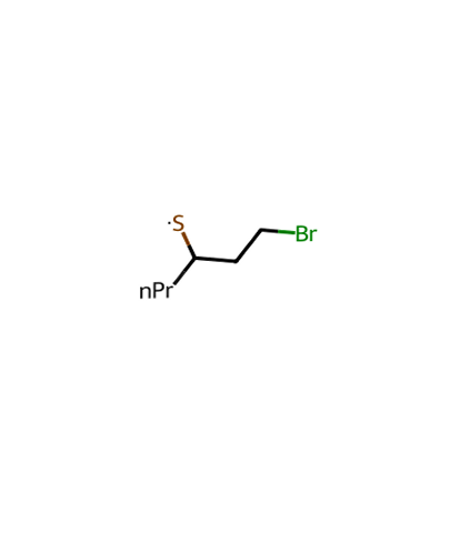 CCCC([S])CCBr